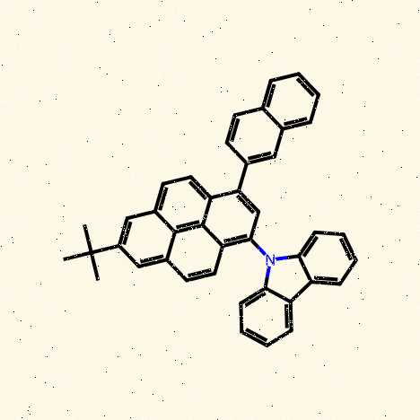 CC(C)(C)c1cc2ccc3c(-c4ccc5ccccc5c4)cc(-n4c5ccccc5c5ccccc54)c4ccc(c1)c2c34